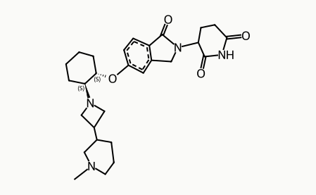 CN1CCCC(C2CN([C@H]3CCCC[C@@H]3Oc3ccc4c(c3)CN(C3CCC(=O)NC3=O)C4=O)C2)C1